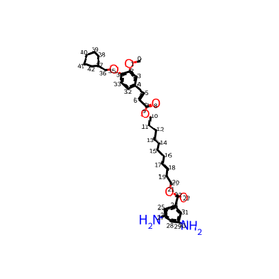 COc1cc(/C=C/C(=O)OCCCCCCCCCCCOC(=O)c2cc(N)cc(N)c2)ccc1OCC1CCCCC1